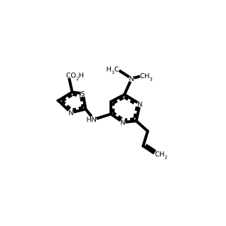 C=CCc1nc(Nc2ncc(C(=O)O)s2)cc(N(C)C)n1